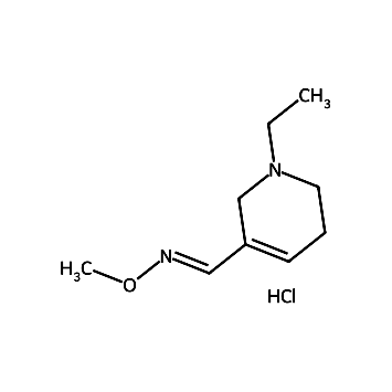 CCN1CCC=C(/C=N/OC)C1.Cl